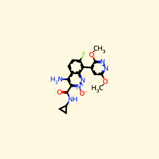 COc1cc(-c2c(F)ccc3c(N)c(C(=O)NC4CC4)[n+]([O-])nc23)c(OC)nn1